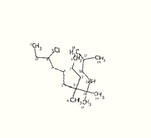 CCCC(C)(CCCC(Cl)CC)C(C)(C)BCC(C)C